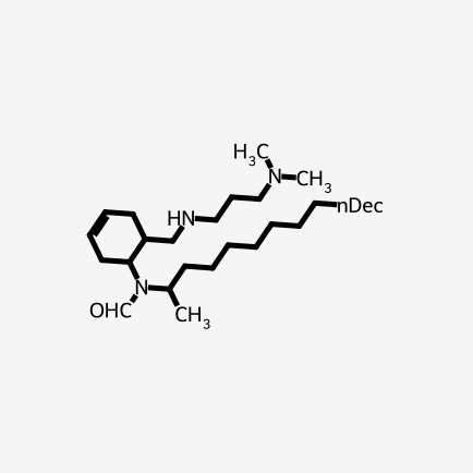 CCCCCCCCCCCCCCCCCC(C)N(C=O)C1CC=CCC1CNCCCN(C)C